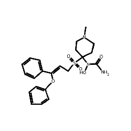 CN1CCC(N(O)C(N)=O)(S(=O)(=O)CC=C(Oc2ccccc2)c2ccccc2)CC1